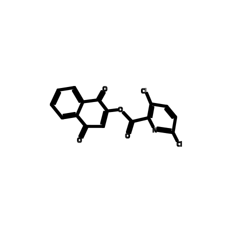 O=C1C=C(OC(=O)c2nc(Cl)ccc2Cl)C(=O)c2ccccc21